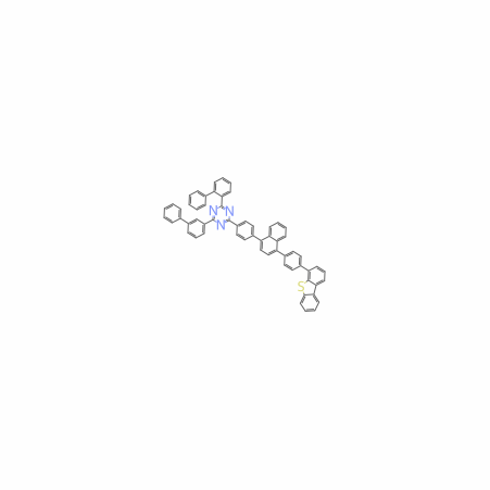 c1ccc(-c2cccc(-c3nc(-c4ccc(-c5ccc(-c6ccc(-c7cccc8c7sc7ccccc78)cc6)c6ccccc56)cc4)nc(-c4ccccc4-c4ccccc4)n3)c2)cc1